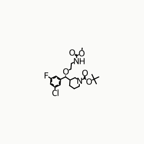 COC(=O)NCCO[C@@H](c1cc(F)cc(Cl)c1)C1CCCN(C(=O)OC(C)(C)C)C1